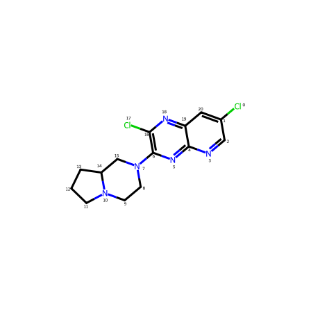 Clc1cnc2nc(N3CCN4CCCC4C3)c(Cl)nc2c1